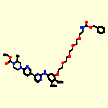 CCC1CN(c2ccc(-c3ccnc(Nc4cc(OC)c(OC)c(OCCOCCOCCOCCOCCNC(=O)OCc5ccccc5)c4)n3)cn2)CCN1C(=O)OC(C)(C)C